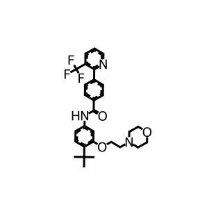 CC(C)(C)c1ccc(NC(=O)c2ccc(-c3ncccc3C(F)(F)F)cc2)cc1OCCN1CCOCC1